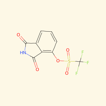 O=C1NC(=O)c2c(OS(=O)(=O)C(F)(F)F)cccc21